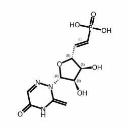 C=C1NC(=O)C=NN1[C@@H]1O[C@H](/C=C/P(=O)(O)O)[C@@H](O)[C@H]1O